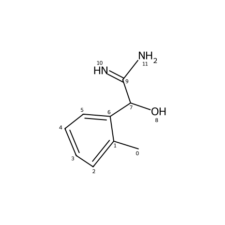 Cc1ccccc1C(O)C(=N)N